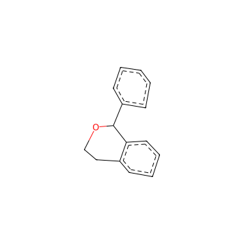 c1ccc(C2OCCc3ccccc32)cc1